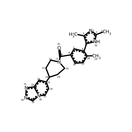 Cc1nc(C)c(-c2cc(C(=O)N3CCC(c4ccn5cnnc5c4)CC3)ccc2C)[nH]1